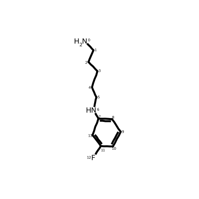 NCCCCCNc1cccc(F)c1